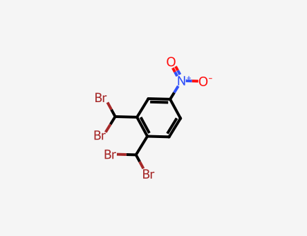 O=[N+]([O-])c1ccc(C(Br)Br)c(C(Br)Br)c1